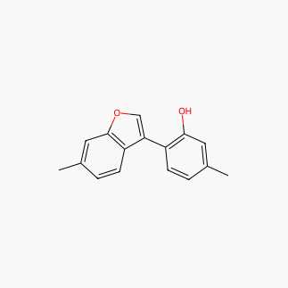 Cc1ccc(-c2coc3cc(C)ccc23)c(O)c1